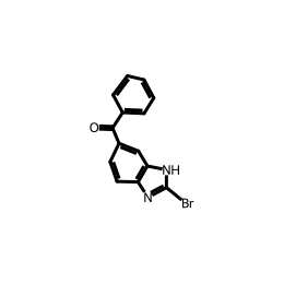 O=C(c1ccccc1)c1ccc2nc(Br)[nH]c2c1